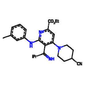 CCOC(=O)c1cc(N2CCC(C#N)CC2)c(C(=N)C(C)C)c(Nc2cccc(C)c2)n1